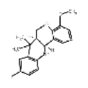 COc1cccc2c1OC[C@H]1[C@@H]2Nc2ccc(I)cc2C1(C)C